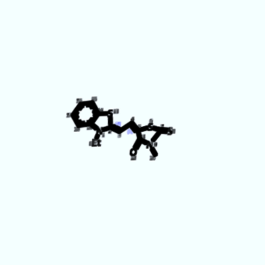 CCN1/C(=C/C=C2/SC(=S)N(C)C2=O)Sc2ccccc21